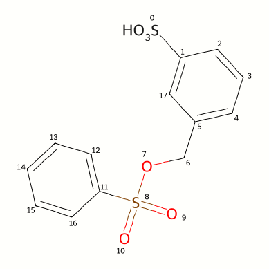 O=S(=O)(O)c1cccc(COS(=O)(=O)c2ccccc2)c1